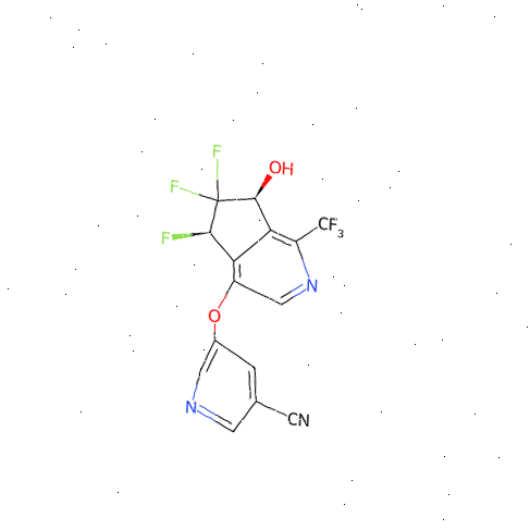 N#Cc1cncc(Oc2cnc(C(F)(F)F)c3c2[C@@H](F)C(F)(F)[C@H]3O)c1